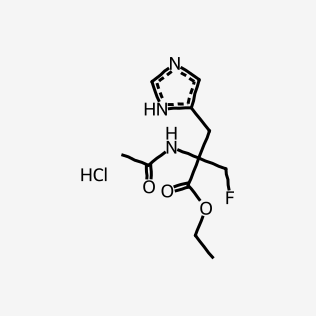 CCOC(=O)C(CF)(Cc1cnc[nH]1)NC(C)=O.Cl